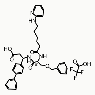 O=C(O)C(F)(F)F.O=C(O)CC(NC(=O)[C@H](COCc1ccccc1)NC(=O)CCCCCNc1ccccn1)c1ccc(-c2ccccc2)cc1